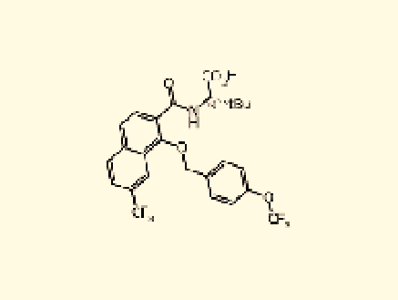 CC(C)(C)[C@H](NC(=O)c1ccc2ccc(C(F)(F)F)cc2c1OCc1ccc(OC(F)(F)F)cc1)C(=O)O